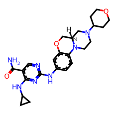 NC(=O)c1cnc(Nc2ccc3c(c2)OC[C@@H]2CN(C4CCOCC4)CCN32)nc1NC1CC1